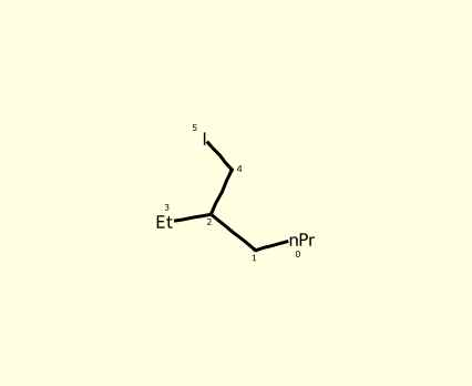 CCCCC(CC)CI